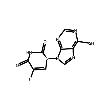 O=c1[nH]c(=O)n(-n2cnc3c(S)ncnc32)cc1F